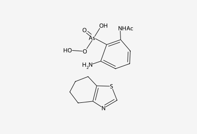 CC(=O)Nc1cccc(N)c1[As](=O)(O)OO.c1nc2c(s1)CCCC2